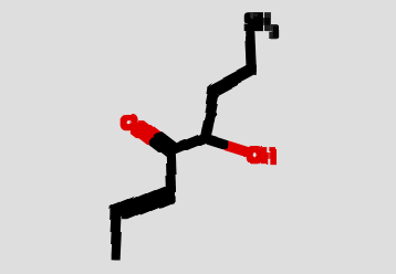 CC=CC(=O)C(O)CC[SiH3]